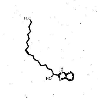 CCCCCCCC/C=C\CCCCCCCC(O)c1nc2ccccc2[nH]1